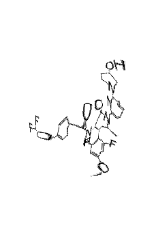 COc1cc(F)c([C@H]2[C@H](NC(=O)c3ccc(OC(F)F)cc3)C(=O)N(c3cccc(N4CC[C@H](O)C4)n3)[C@H]2C)c(F)c1